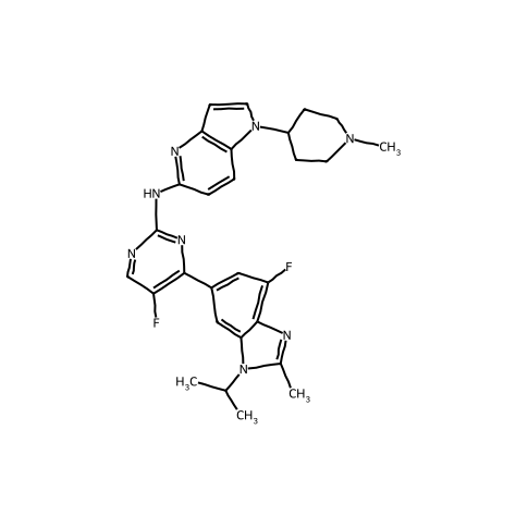 Cc1nc2c(F)cc(-c3nc(Nc4ccc5c(ccn5C5CCN(C)CC5)n4)ncc3F)cc2n1C(C)C